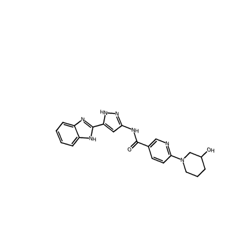 O=C(Nc1cc(-c2nc3ccccc3[nH]2)[nH]n1)c1ccc(N2CCCC(O)C2)nc1